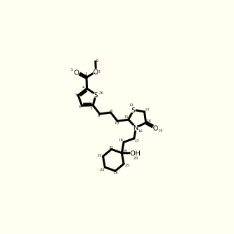 COC(=O)c1ccc(CCCC2SCC(=O)N2CCC2(O)CCCCC2)s1